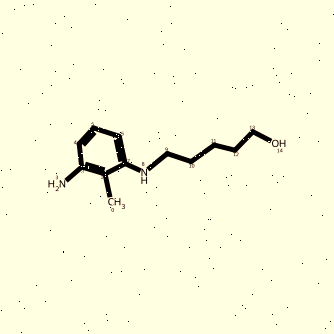 Cc1c(N)cccc1NCCCCCO